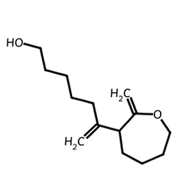 C=C(CCCCCO)C1CCCCOC1=C